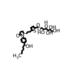 CCCCC[C@H](O)c1ccc(N2C(=O)CC[C@@H]2CCCc2ccc(C(=O)OC[C@@H](O)[C@@H](O)[C@H](O)[C@H](O)CO)s2)cc1